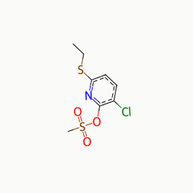 CCSc1ccc(Cl)c(OS(C)(=O)=O)n1